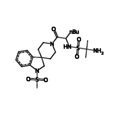 CCCCC(NS(=O)(=O)C(C)(C)N)C(=O)N1CCC2(CC1)CN(S(C)(=O)=O)c1ccccc12